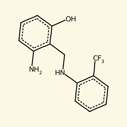 Nc1cccc(O)c1CNc1ccccc1C(F)(F)F